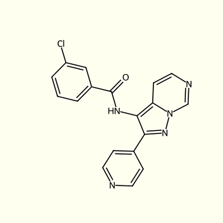 O=C(Nc1c(-c2ccncc2)nn2cnccc12)c1cccc(Cl)c1